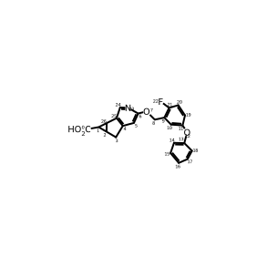 O=C(O)C1C2Cc3cc(OCc4cc(Oc5ccccc5)ccc4F)ncc3C21